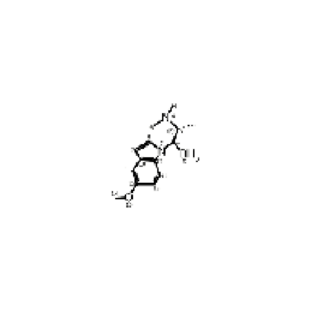 BC([C@@H](C)N(C)C)n1ccc2cc(OC)ccc21